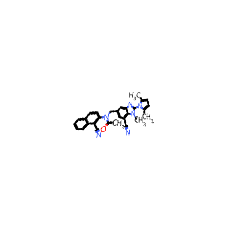 CC(=O)N(Cc1cc(C#N)c2c(c1)nc(-n1c(C)ccc1C)n2C)c1ccc2ccccc2c1C#N